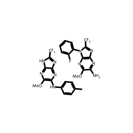 COc1nc2[nH]c(C(F)(F)F)nc2nc1Nc1ccc(C)cc1.COc1nc2c(nc1N)nc(C(F)(F)F)n2-c1ccccc1F